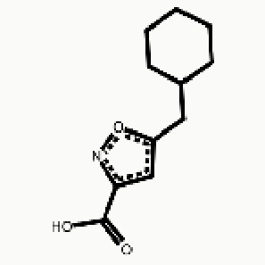 O=C(O)c1cc(CC2CCCCC2)on1